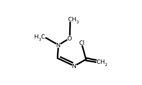 C=C(Cl)/N=C\N(C)OC